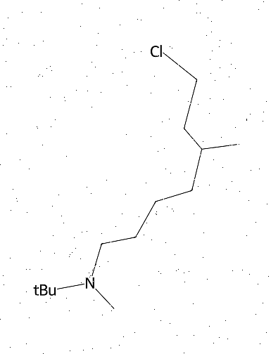 CC(CCCl)CCCCN(C)C(C)(C)C